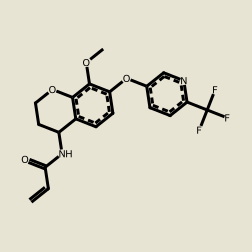 C=CC(=O)NC1CCOc2c1ccc(Oc1ccc(C(F)(F)F)nc1)c2OC